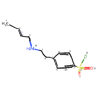 C/C=C/CNCCc1ccc(S(=O)(=O)Cl)cc1